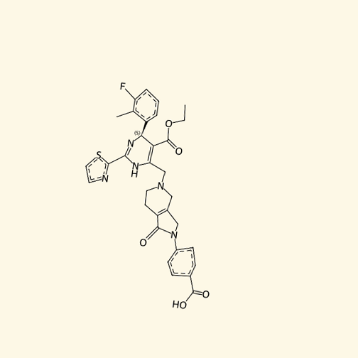 CCOC(=O)C1=C(CN2CCC3=C(C2)CN(c2ccc(C(=O)O)cc2)C3=O)NC(c2nccs2)=N[C@H]1c1cccc(F)c1C